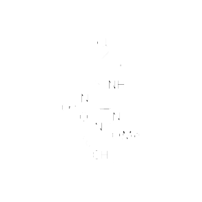 CC#CCOC(=O)N1CCc2c([nH]c3ccc(Cl)cc23)C1c1cnc(OC)nc1